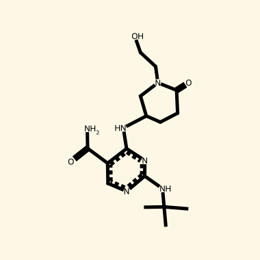 CC(C)(C)Nc1ncc(C(N)=O)c(NC2CCC(=O)N(CCO)C2)n1